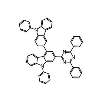 c1ccc(-c2nc(-c3ccccc3)nc(-c3cc(-c4ccc5c(c4)c4ccccc4n5-c4ccccc4)c4c5ccccc5n(-c5ccccc5)c4c3)n2)cc1